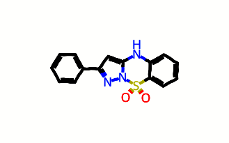 O=S1(=O)c2ccccc2Nc2cc(-c3ccccc3)nn21